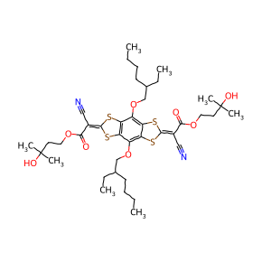 CCCCC(CC)COc1c2c(c(OCC(CC)CCCC)c3c1SC(=C(C#N)C(=O)OCCC(C)(C)O)S3)SC(=C(C#N)C(=O)OCCC(C)(C)O)S2